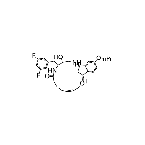 CCCOc1ccc2c(c1)[C@@H]1C[C@H]2OC/C=C\CCCC(=O)N[C@@H](Cc2cc(F)cc(F)c2)[C@H](O)CN1